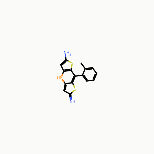 Cc1ccccc1-c1c2sc(=N)cc-2[pH]c2cc(N)sc12